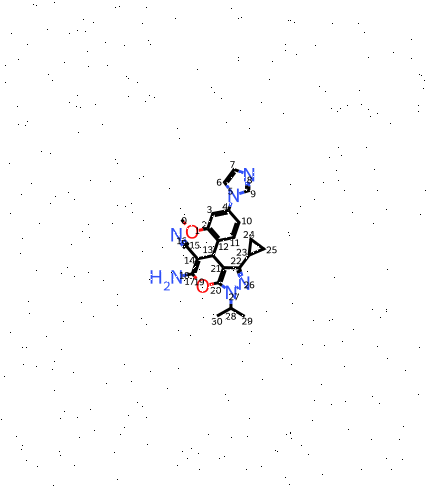 COc1cc(-n2ccnc2)ccc1C1C(C#N)=C(N)Oc2c1c(C1CC1)nn2C(C)C